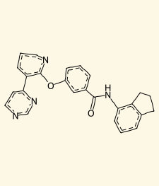 O=C(Nc1cccc2c1CCC2)c1cccc(Oc2ncccc2-c2ccncn2)c1